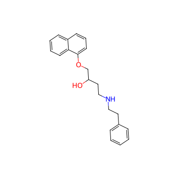 OC(CCNCCc1ccccc1)COc1cccc2ccccc12